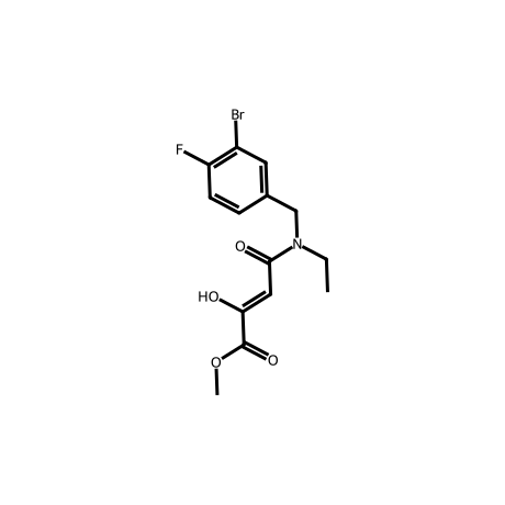 CCN(Cc1ccc(F)c(Br)c1)C(=O)C=C(O)C(=O)OC